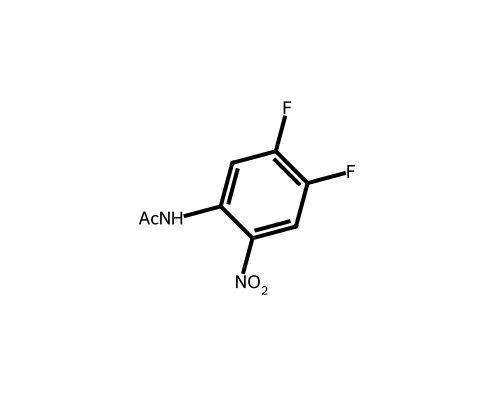 CC(=O)Nc1cc(F)c(F)cc1[N+](=O)[O-]